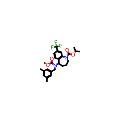 COC(=O)N(Cc1cc(C)cc(C)c1)C1CCCN(C(=O)OC(C)C)c2cc(C(F)(F)F)ccc21